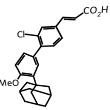 COc1ccc(-c2ccc(C=CC(=O)O)cc2Cl)cc1C12CC3CC(CC(C3)C1)C2